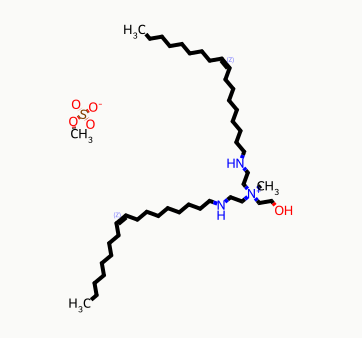 CCCCCCCC/C=C\CCCCCCCCNCC[N+](C)(CCO)CCNCCCCCCCC/C=C\CCCCCCCC.COS(=O)(=O)[O-]